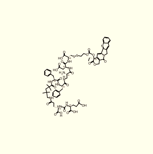 CC[C@@]1(OC(=O)OCCSSC[C@H](NC(=O)[C@H](CC(=O)O)NC(=O)[C@@H](N)CNC(=O)[C@H](Cc2ccccc2)NC(=O)[C@H](Cc2ccccc2)NC(=O)C(C)(C)CC(C)(C)CNC(=O)CC[C@H](NC(=O)N[C@@H](CCC(=O)O)C(=O)O)C(=O)O)C(=O)O)C(=O)OCc2c1cc1n(c2=O)Cc2cc3ccccc3nc2-1